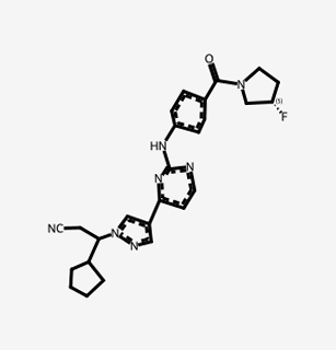 N#CCC(C1CCCC1)n1cc(-c2ccnc(Nc3ccc(C(=O)N4CC[C@H](F)C4)cc3)n2)cn1